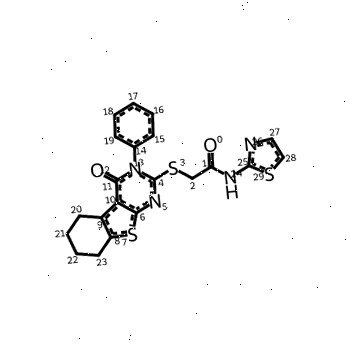 O=C(CSc1nc2sc3c(c2c(=O)n1-c1ccccc1)CCCC3)Nc1nccs1